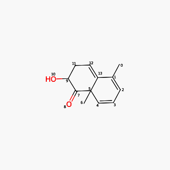 CC1=CC=CC2(C)C(=O)C(O)CC=C12